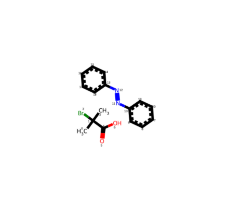 CC(C)(Br)C(=O)O.c1ccc(N=Nc2ccccc2)cc1